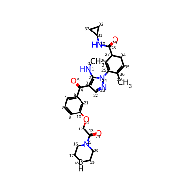 CNc1c(C(=O)c2cccc(OCC(=O)N3CCBCC3)c2)cnn1C1=CC(C(=O)NC2CC2)CC=C1C